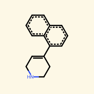 C1=C(c2cccc3ccccc23)CCNC1